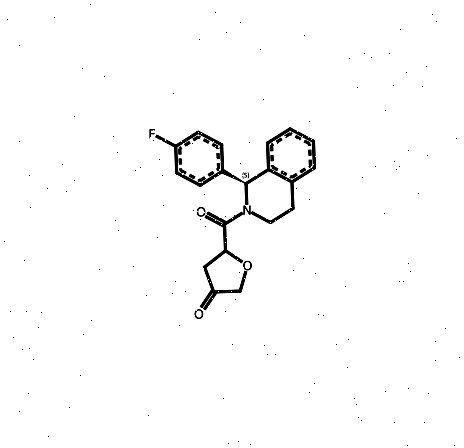 O=C1COC(C(=O)N2CCc3ccccc3[C@@H]2c2ccc(F)cc2)C1